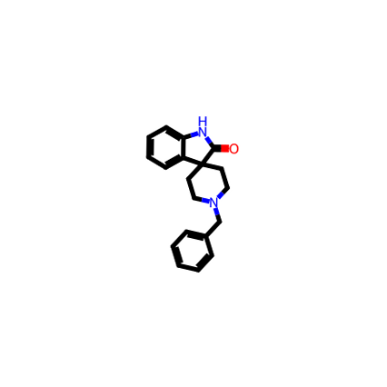 O=C1Nc2ccccc2C12CCN(Cc1ccccc1)CC2